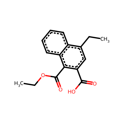 CCOC(=O)c1c(C(=O)O)cc(CC)c2ccccc12